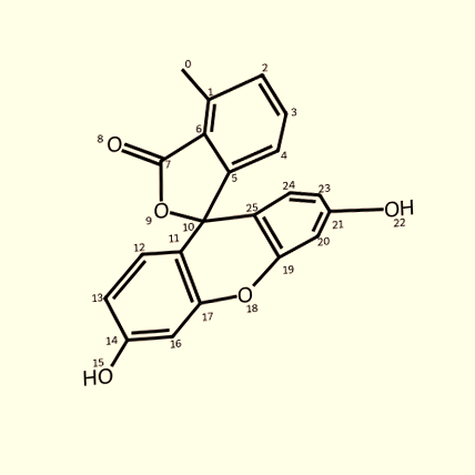 Cc1cccc2c1C(=O)OC21c2ccc(O)cc2Oc2cc(O)ccc21